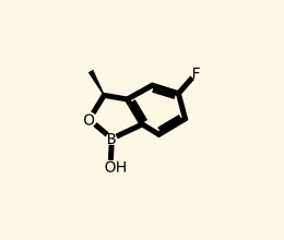 C[C@@H]1OB(O)c2ccc(F)cc21